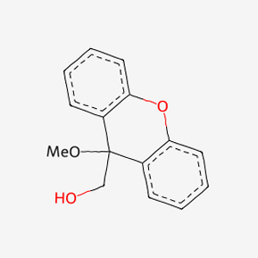 COC1(CO)c2ccccc2Oc2ccccc21